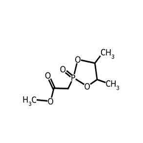 COC(=O)CP1(=O)OC(C)C(C)O1